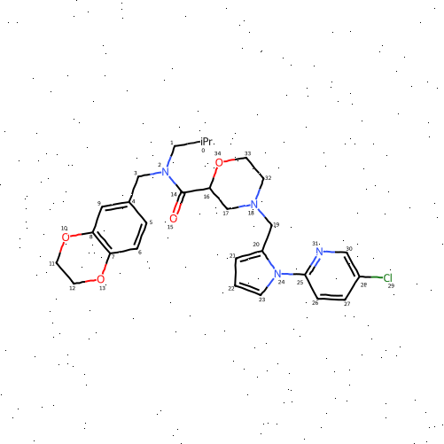 CC(C)CN(Cc1ccc2c(c1)OCCO2)C(=O)C1CN(Cc2cccn2-c2ccc(Cl)cn2)CCO1